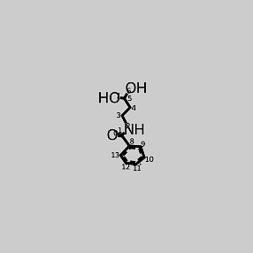 O=C(NCCC(O)O)c1cc[c]cc1